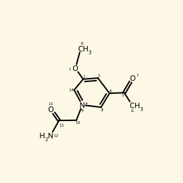 COc1cc(C(C)=O)c[n+](CC(N)=O)c1